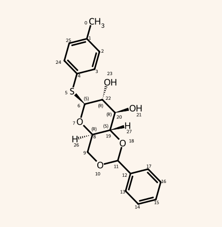 Cc1ccc(S[C@@H]2O[C@@H]3COC(c4ccccc4)O[C@H]3[C@H](O)[C@H]2O)cc1